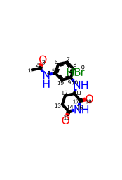 Br.CC(=O)Nc1cccc(NC2CCC(=O)NC2=O)c1